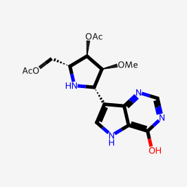 CO[C@@H]1[C@H](OC(C)=O)[C@@H](COC(C)=O)N[C@H]1c1c[nH]c2c(O)ncnc12